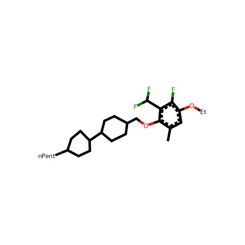 CCCCCC1CCC(C2CCC(COc3c(C)cc(OCC)c(F)c3C(F)F)CC2)CC1